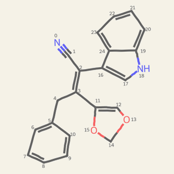 N#C/C(=C(\Cc1ccccc1)C1=COCO1)c1c[nH]c2ccccc12